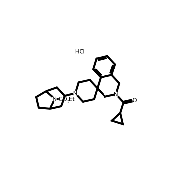 CCOC(=O)N1C2CCC1CC(N1CCC3(CC1)CN(C(=O)C1CC1)Cc1ccccc13)C2.Cl